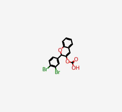 O=C(O)OC1=Cc2ccccc2OC1c1ccc(Br)c(Br)c1